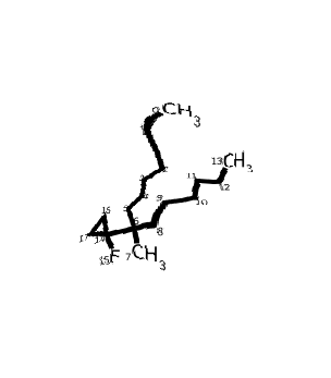 CCCCCCC(C)(CCCCCC)C1(F)CC1